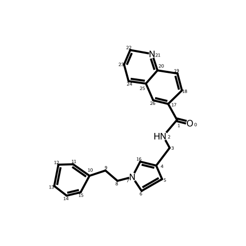 O=C(NCc1ccn(CCc2ccccc2)c1)c1ccc2ncccc2c1